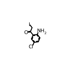 Nc1ccc(Cl)cc1C(=O)CI